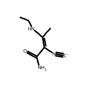 [C-]#[N+]/C(C(N)=O)=C(\C)NCC